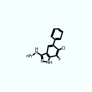 CCCNc1n[nH]c2c(F)c(Cl)c(-c3ccccc3)cc12